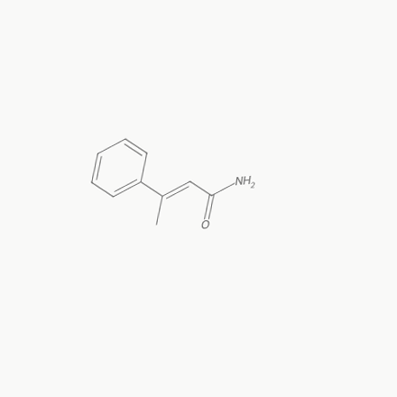 CC(=CC(N)=O)c1ccccc1